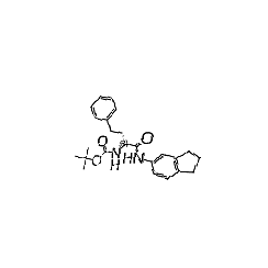 CC(C)(C)OC(=O)N[C@H](CCc1ccccc1)C(=O)Nc1ccc2c(c1)CCC2